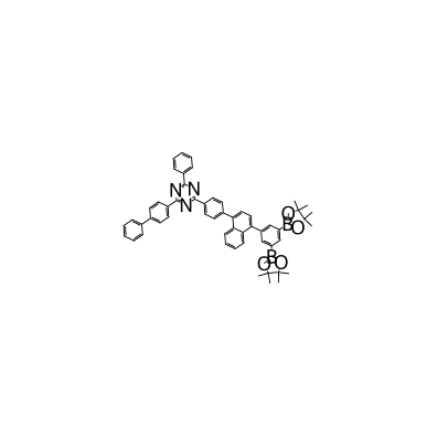 CC1(C)OB(c2cc(B3OC(C)(C)C(C)(C)O3)cc(-c3ccc(-c4ccc(-c5nc(-c6ccccc6)nc(-c6ccc(-c7ccccc7)cc6)n5)cc4)c4ccccc34)c2)OC1(C)C